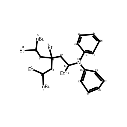 CCCCC(CC)CC(CC)(CC(CC)CCCC)CC(CC)N(c1ccccc1)c1ccccc1